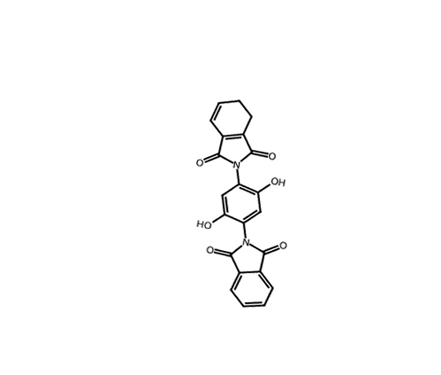 O=C1C2=C(CCC=C2)C(=O)N1c1cc(O)c(N2C(=O)c3ccccc3C2=O)cc1O